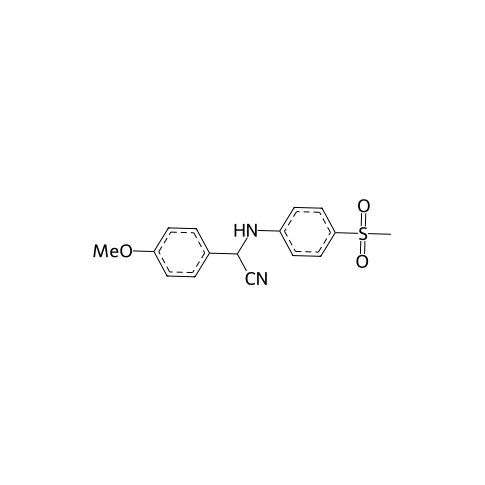 COc1ccc(C(C#N)Nc2ccc(S(C)(=O)=O)cc2)cc1